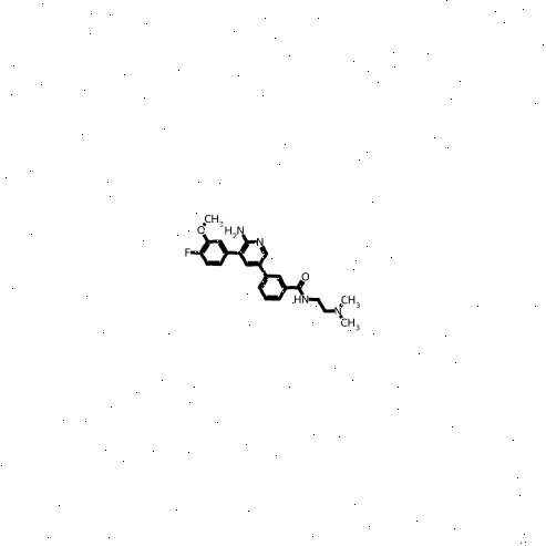 COc1cc(-c2cc(-c3cccc(C(=O)NCCN(C)C)c3)cnc2N)ccc1F